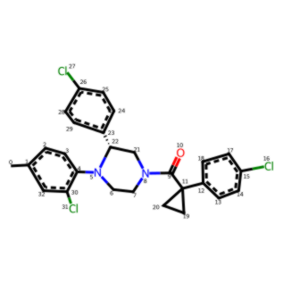 Cc1ccc(N2CCN(C(=O)C3(c4ccc(Cl)cc4)CC3)C[C@H]2c2ccc(Cl)cc2)c(Cl)c1